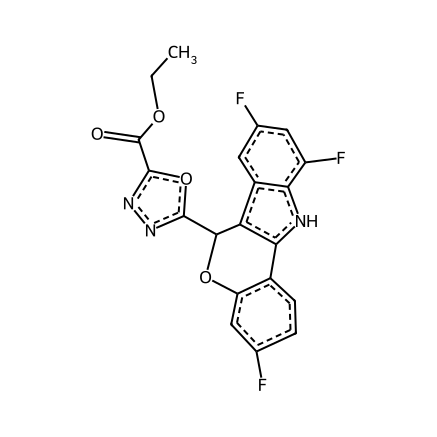 CCOC(=O)c1nnc(C2Oc3cc(F)ccc3-c3[nH]c4c(F)cc(F)cc4c32)o1